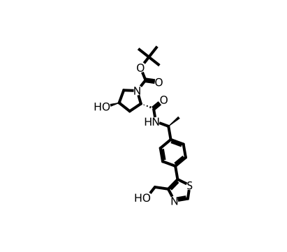 C[C@H](NC(=O)[C@@H]1C[C@@H](O)CN1C(=O)OC(C)(C)C)c1ccc(-c2scnc2CO)cc1